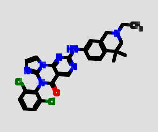 CC1(C)CN(CC(F)(F)F)Cc2cc(Nc3ncc4c(=O)n(-c5c(Cl)cccc5Cl)c5nccn5c4n3)ccc21